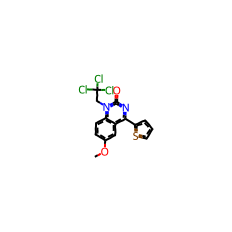 COc1ccc2c(c1)c(-c1cccs1)nc(=O)n2CC(Cl)(Cl)Cl